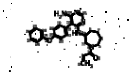 C=CC(=O)N1CCCCC(Nc2ncnc(N)c2-c2ccc(Oc3ccccc3)cc2)C1